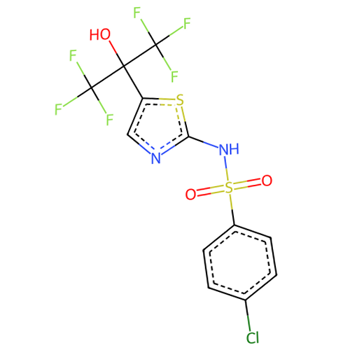 O=S(=O)(Nc1ncc(C(O)(C(F)(F)F)C(F)(F)F)s1)c1ccc(Cl)cc1